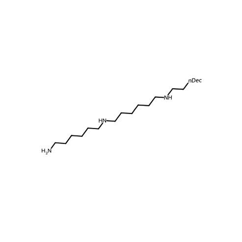 CCCCCCCCCCCCNCCCCCCNCCCCCCN